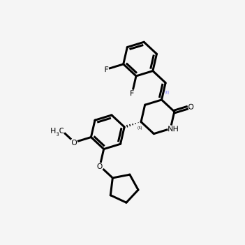 COc1ccc([C@H]2CNC(=O)/C(=C/c3cccc(F)c3F)C2)cc1OC1CCCC1